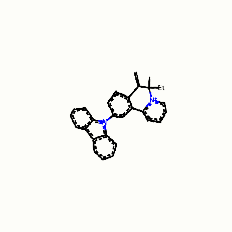 C=C1c2ccc(-n3c4ccccc4c4ccccc43)cc2-c2cccc[n+]2C1(C)CC